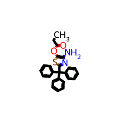 CCC(=O)Oc1sc(C(c2ccccc2)(c2ccccc2)c2ccccc2)nc1N